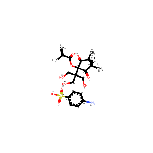 C=C(C)C(=O)OC(C(=O)C(=C)C)(C(=O)C(=C)C)C(CO)(CO)CO.Nc1ccc(S(=O)(=O)O)cc1